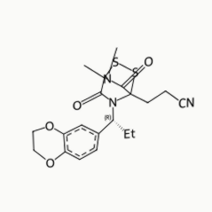 CC[C@H](c1ccc2c(c1)OCCO2)N1C(=O)C2(C)SSC1(CCC#N)C(=O)N2C